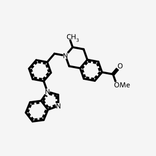 COC(=O)c1ccc2c(c1)CC(C)N(Cc1cccc(-n3cnc4ccccc43)c1)C2